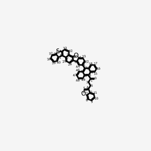 C=C(CCc1coc2ccccc12)c1c2ccccc2c(-c2ccc3oc4c(ccc5c4ccc4sc6ccccc6c45)c3c2)c2ccccc12